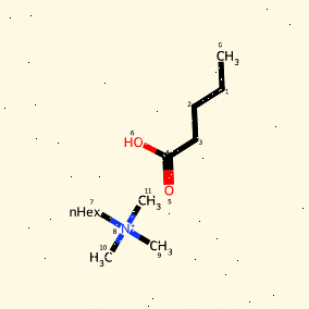 CCCCC(=O)O.CCCCCC[N+](C)(C)C